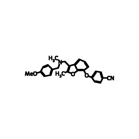 COc1ccc(CN(C)Cc2c(C)oc3c(Oc4ccc(C#N)cc4)cccc23)cc1